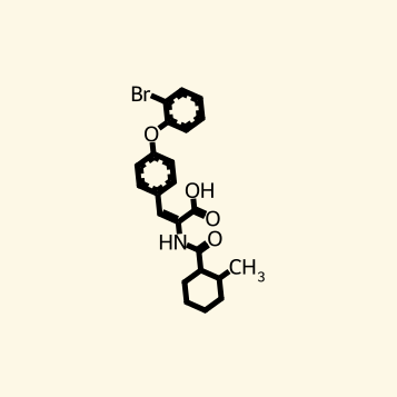 CC1CCCCC1C(=O)N/C(=C/c1ccc(Oc2ccccc2Br)cc1)C(=O)O